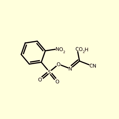 N#CC(=NOS(=O)(=O)c1ccccc1[N+](=O)[O-])C(=O)O